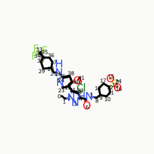 CCn1nc(C(=O)NCC2CCC(S(C)(=O)=O)CC2)c(Cl)c1-c1cnc(NCC2CCC(C(F)(F)F)CC2)cc1OC